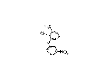 O=[N+]([O-])c1cccc(Oc2cccc(C(F)(F)F)c2Cl)c1